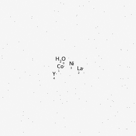 O.[Co].[La].[Ni].[Y]